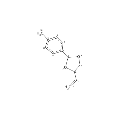 C=CC1COC(c2ccc(C)cc2)O1